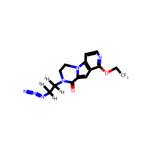 [2H]C([2H])(N=[N+]=[N-])C([2H])([2H])N1CCn2c(cc3c(OCC(F)(F)F)nccc32)C1=O